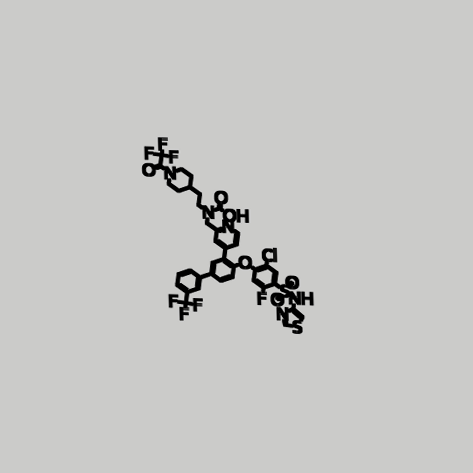 O=C(O)N(CCC1CCN(C(=O)C(F)(F)F)CC1)Cc1cc(-c2cc(-c3cccc(C(F)(F)F)c3)ccc2Oc2cc(F)c(S(=O)(=O)Nc3cscn3)cc2Cl)ccn1